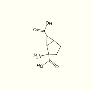 NC1(C(=O)O)CCC2C(C(=O)O)C21